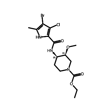 CCOC(=O)N1CC[C@@H](NC(=O)c2[nH]c(C)c(Br)c2Cl)[C@@H](OC)C1